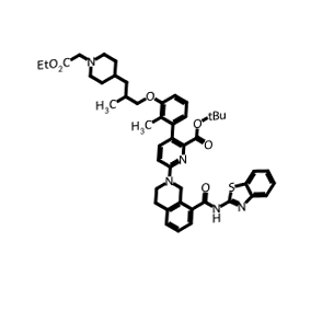 CCOC(=O)CN1CCC(CC(C)COc2cccc(-c3ccc(N4CCc5cccc(C(=O)Nc6nc7ccccc7s6)c5C4)nc3C(=O)OC(C)(C)C)c2C)CC1